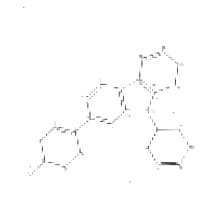 CC1CC=C(c2ccc3c4c(n(C5CC=CCC5)c3c2)CCC=C4)CC1